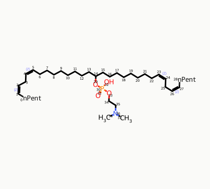 CCCCC/C=C\C/C=C\CCCCCCCCC(CCCCCCCC/C=C\C/C=C\CCCCC)OP(=O)(O)OCCN(C)C